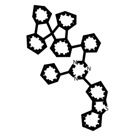 c1ccc(-c2nc(-c3ccc4sc5ccccc5c4c3)nc(-c3ccccc3-c3cccc4c3-c3ccccc3C43c4ccccc4-c4ccccc43)n2)cc1